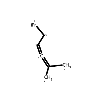 CC(C)=C=CCC(C)C